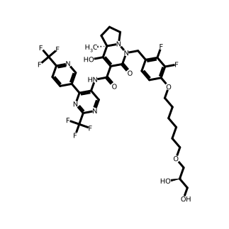 C[C@]12CCCN1N(Cc1ccc(OCCCCCCOC[C@H](O)CO)c(F)c1F)C(=O)C(C(=O)Nc1cnc(C(F)(F)F)nc1-c1ccc(C(F)(F)F)nc1)=C2O